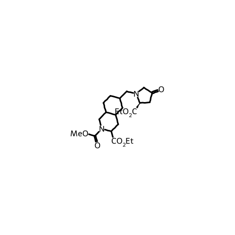 CCOC(=O)C1CC2CC(CN3CC(=O)C[C@H]3C(=O)OCC)CCC2CN1C(=O)OC